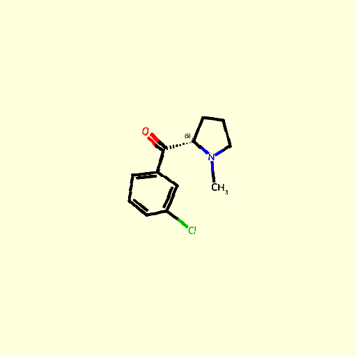 CN1CCC[C@H]1C(=O)c1cccc(Cl)c1